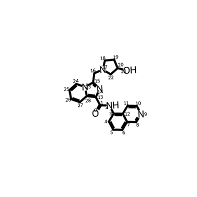 O=C(Nc1cccc2cnccc12)c1nc(CN2CCC(O)C2)n2ccccc12